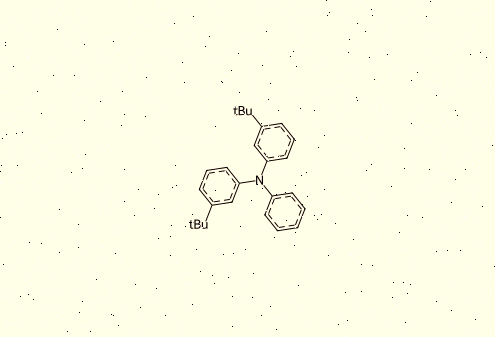 CC(C)(C)c1cccc(N(c2ccccc2)c2cccc(C(C)(C)C)c2)c1